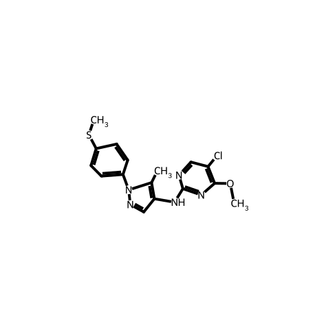 COc1nc(Nc2cnn(-c3ccc(SC)cc3)c2C)ncc1Cl